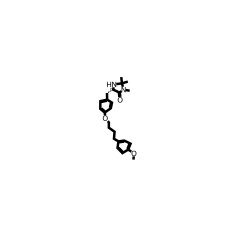 COc1ccc(CCCCOc2ccc(C[C@@H]3NC(C)(C)N(C)C3=O)cc2)cc1